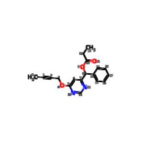 CC#CCOc1cc(C(OC(=O)CC)c2ccccc2)ncn1